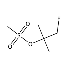 CC(C)(CF)OS(C)(=O)=O